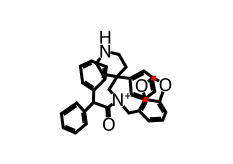 O=C(C(c1ccccc1)c1ccccc1)[N+]1(Cc2cccc3c2OCO3)CC2(CCNCC2)c2ccccc21